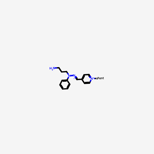 CCCCC[n+]1ccc(/C=N/N(CCCN)c2ccccc2)cc1